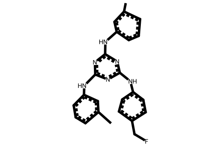 Cc1cccc(Nc2nc(Nc3ccc(CF)cc3)nc(Nc3cccc(C)c3)n2)c1